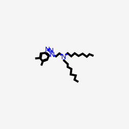 CCCCCCCCN(CCCCCCCC)CCn1nnc2cc(C)c(C)cc21